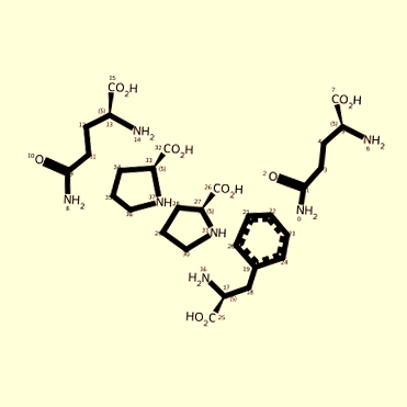 NC(=O)CC[C@H](N)C(=O)O.NC(=O)CC[C@H](N)C(=O)O.N[C@@H](Cc1ccccc1)C(=O)O.O=C(O)[C@@H]1CCCN1.O=C(O)[C@@H]1CCCN1